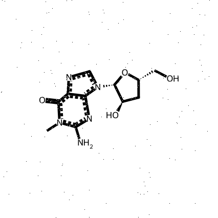 Cn1c(N)nc2c(ncn2[C@@H]2O[C@H](CO)C[C@H]2O)c1=O